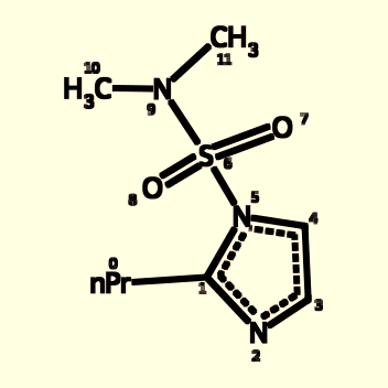 CCCc1nccn1S(=O)(=O)N(C)C